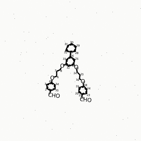 O=Cc1ccc(OCCCOc2cc(OCCCOc3ccc(C=O)cc3)cc(-c3ccccc3)c2)cc1